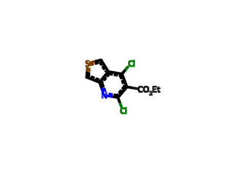 CCOC(=O)c1c(Cl)nc2cscc2c1Cl